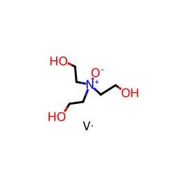 [O-][N+](CCO)(CCO)CCO.[V]